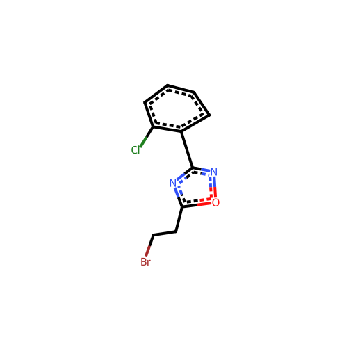 Clc1ccccc1-c1noc(CCBr)n1